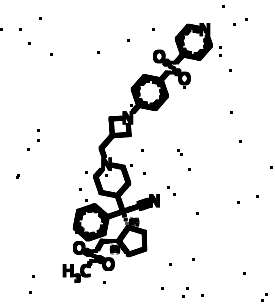 CS(=O)(=O)C[C@@H]1CCC[C@H]1C(C#N)(c1ccccc1)C1CCN(CC2CN(c3ccc(S(=O)(=O)c4ccncc4)cc3)C2)CC1